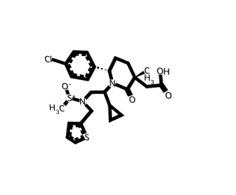 C[S+]([O-])N(Cc1cccs1)CC(C1CC1)N1C(=O)[C@@](C)(CC(=O)O)CC[C@H]1c1ccc(Cl)cc1